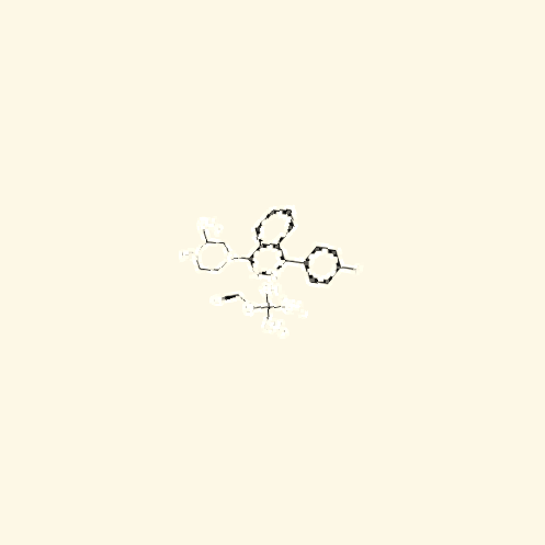 CC(C)(C)OC=O.CC1CN(c2nnc(-c3ccc(F)cc3)c3ccccc23)CCN1